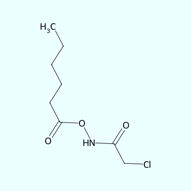 CCCCCC(=O)ONC(=O)CCl